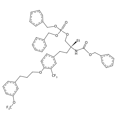 CC[C@@](CCc1ccc(OCCCc2cccc(OC(F)(F)F)c2)c(C(F)(F)F)c1)(COP(=O)(OCc1ccccc1)OCc1ccccc1)NC(=O)OCc1ccccc1